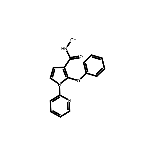 O=C(NO)c1ccn(-c2ccccn2)c1Oc1ccccc1